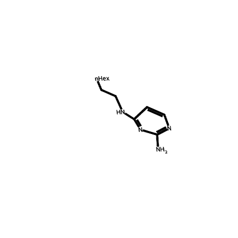 CCCCCCCCNc1ccnc(N)n1